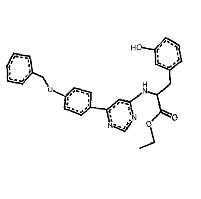 CCOC(=O)C(Cc1cccc(O)c1)Nc1cc(-c2ccc(OCc3ccccc3)cc2)ncn1